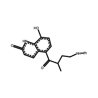 CC(C)NCCC(C)C(=O)c1ccc(O)c2[nH]c(=O)ccc12